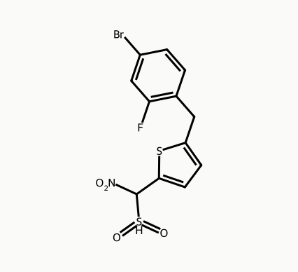 O=[N+]([O-])C(c1ccc(Cc2ccc(Br)cc2F)s1)[SH](=O)=O